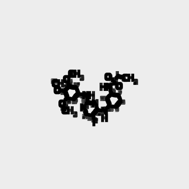 C=CS(=O)(=O)Nc1cccc(Nc2nc(Nc3cc(OC)c(OC)c(OC)c3)ncc2F)c1